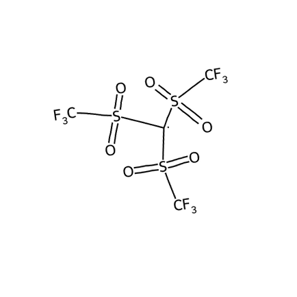 O=S(=O)([C](S(=O)(=O)C(F)(F)F)S(=O)(=O)C(F)(F)F)C(F)(F)F